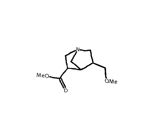 COCC1CN2CC(C(=O)OC)C1C2